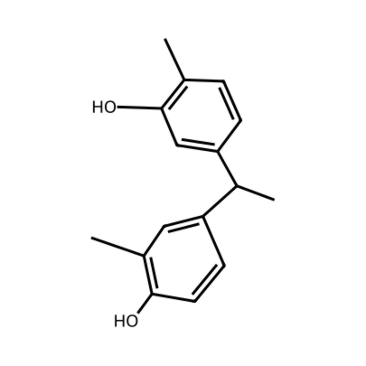 Cc1cc(C(C)c2ccc(C)c(O)c2)ccc1O